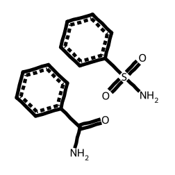 NC(=O)c1ccccc1.NS(=O)(=O)c1ccccc1